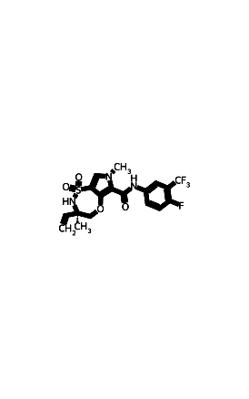 C=C[C@]1(C)COc2c(cn(C)c2C(=O)Nc2ccc(F)c(C(F)(F)F)c2)S(=O)(=O)N1